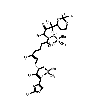 CCC[C@@H](C(=O)C(C)(C)C1CCOC(C)(C)O1)[C@@H](O[Si](C)(C)C(C)(C)C)C(C)CCCC(C)=CC[C@H](O[Si](C)(C)C(C)(C)C)/C(C)=C/c1csc(C)n1